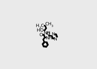 CC(C)C[C@@H](O)NC(=O)C(Cc1ccccc1)NC(=O)c1cnccn1